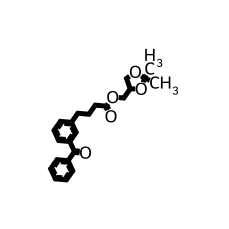 CC1(C)OCC(COC(=O)CCCc2cccc(C(=O)c3ccccc3)c2)O1